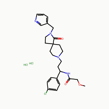 COCC(=O)NC(CCN1CCC2(CC1)CCN(Cc1cccnc1)C2=O)c1ccc(Cl)cc1.Cl.Cl